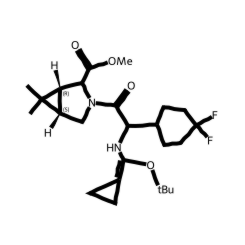 COC(=O)C1[C@@H]2[C@H](CN1C(=O)C(NC(OC(C)(C)C)=C1CC1)C1CCC(F)(F)CC1)C2(C)C